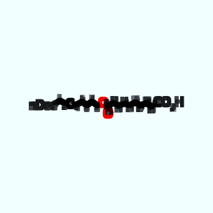 CCCCCCCCCCCCCCCCCCOC(=O)CCCCCCCCC(=O)O